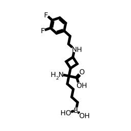 NC(CCCCB(O)O)(C(=O)O)C1CC(NCCc2ccc(F)c(F)c2)C1